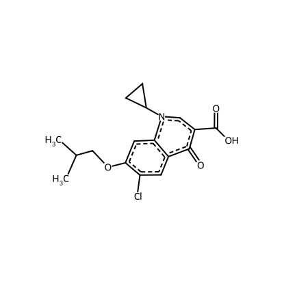 CC(C)COc1cc2c(cc1Cl)c(=O)c(C(=O)O)cn2C1CC1